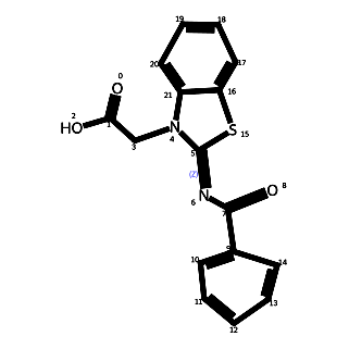 O=C(O)Cn1/c(=N/C(=O)c2ccccc2)sc2ccccc21